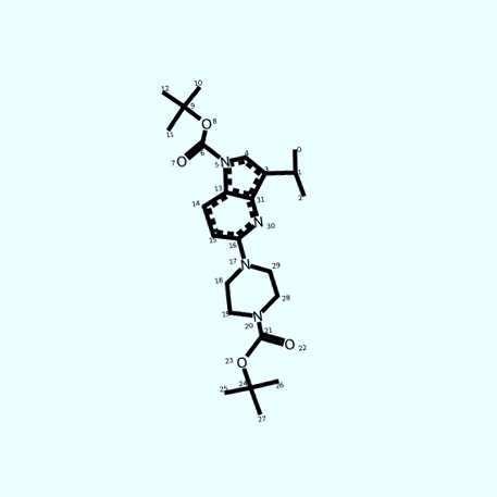 CC(C)c1cn(C(=O)OC(C)(C)C)c2ccc(N3CCN(C(=O)OC(C)(C)C)CC3)nc12